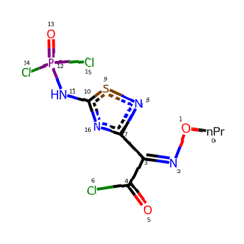 CCCO/N=C(/C(=O)Cl)c1nsc(NP(=O)(Cl)Cl)n1